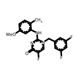 COc1ccc(C)c(Nc2nc(=O)c(F)cn2Cc2cc(F)cc(F)c2)c1